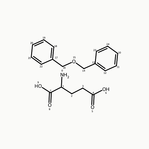 NC(CCC(=O)O)C(=O)O.c1ccc(COCc2ccccc2)cc1